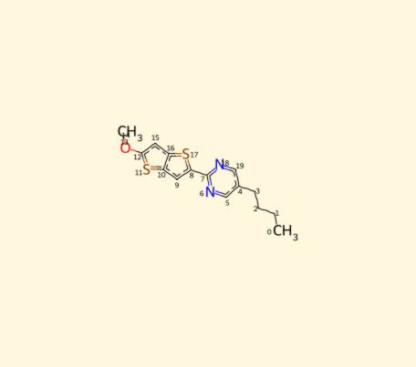 CCCCc1cnc(-c2cc3sc(OC)cc3s2)nc1